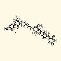 C[C@@H]1CC(OCCO[C@H]2CC[C@H](N3C(=S)N(c4ccc(C#N)c(C(F)(F)F)c4)C(=O)C3(C)C)CC2)C[C@H](C)N1CC(=O)Nc1cccc(NC2CCC(=O)NC2=O)c1